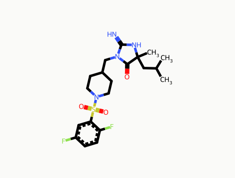 CC(C)CC1(C)NC(=N)N(CC2CCN(S(=O)(=O)c3cc(F)ccc3F)CC2)C1=O